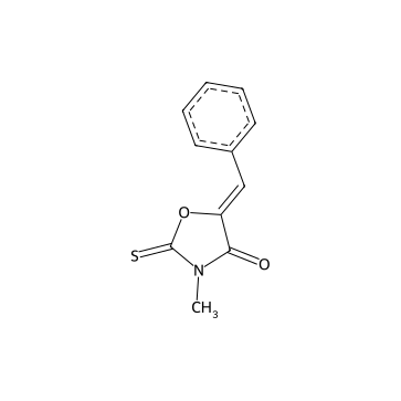 CN1C(=O)C(=Cc2ccccc2)OC1=S